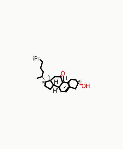 CC(C)CCCC(C)[C@H]1CC[C@H]2[C@@H]3CC=C4C[C@H](O)CC[C@]4(C)[C@H]3C(=O)C[C@]12C